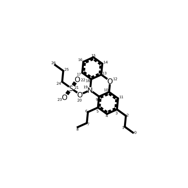 CCCc1cc(CCC)c2c(c1)Oc1ccccc1N2OS(=O)(=O)CCC